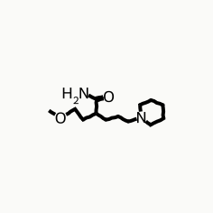 COCCC(CCCN1CCCCC1)C(N)=O